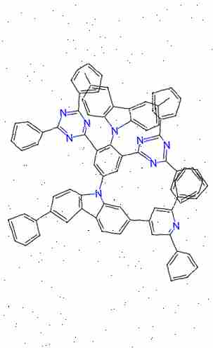 Cc1ccc2c(c1)c1cc(C)ccc1n2-c1c(-c2nc(-c3ccccc3)nc(-c3ccccc3)n2)cc(-n2c3ccc(-c4ccccc4)cc3c3ccc(-c4cc(-c5ccccc5)nc(-c5ccccc5)c4)cc32)cc1-c1nc(-c2ccccc2)nc(-c2ccccc2)n1